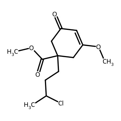 COC(=O)C1(CCC(C)Cl)CC(=O)C=C(OC)C1